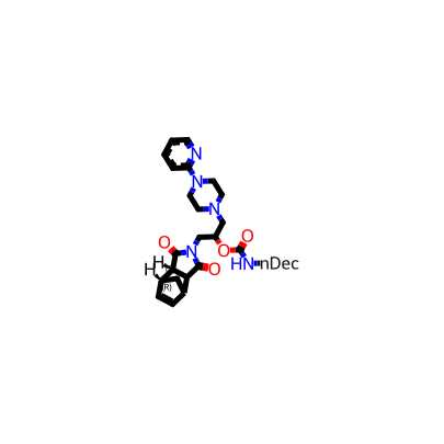 CCCCCCCCCCNC(=O)OC(CN1CCN(c2ccccn2)CC1)CN1C(=O)C2C3C=C[C@@H](C3)[C@@H]2C1=O